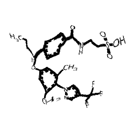 CCC[C@H](Oc1cc(C)c(-n2cc(C(F)(F)F)cn2)c(C)c1)c1ccc(C(=O)NCCS(=O)(=O)O)cc1